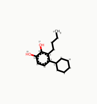 CCCCc1c(C2CCCCC2)ccc(O)c1O